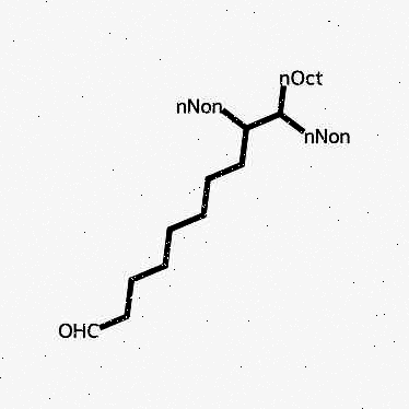 CCCCCCCCCC(CCCCCCCC)C(CCCCCCCC=O)CCCCCCCCC